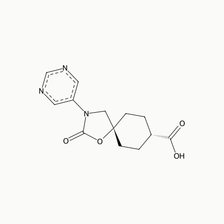 O=C1O[C@]2(CC[C@@H](C(=O)O)CC2)CN1c1cncnc1